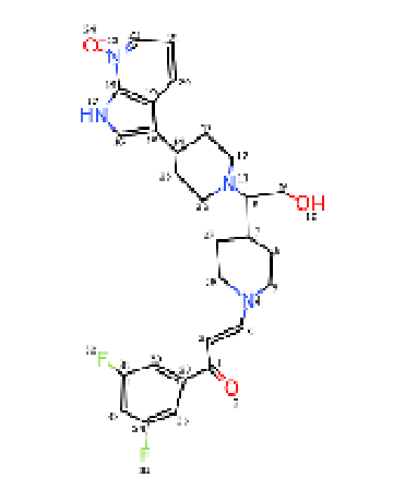 O=C(C=CN1CCC(C(CO)N2CCC(c3c[nH]c4c3ccc[n+]4[O-])CC2)CC1)c1cc(F)cc(F)c1